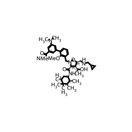 CNC(=O)c1cc(-c2cccc(CN3O[C@@H](CNCC4CC4)[C@@H]([C@H](C)O)[C@H]3C(=O)N[C@H]3C[C@@H](C)C(C)(C)[C@@H](C)[C@@H]3C)c2OC)cc(N(C)C)c1